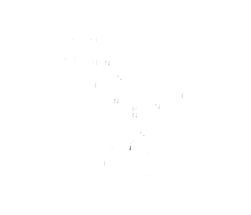 CCOC(=O)C1=C(CN2CCN3C(=O)N(CC(C)(C)C(=O)O)C[C@@H]3C2)NC(c2nc(C)cs2)=N[C@H]1c1cccc(F)c1Cl